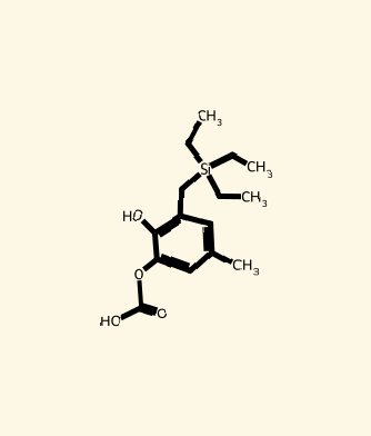 CC[Si](CC)(CC)Cc1cc(C)cc(OC(=O)O)c1O